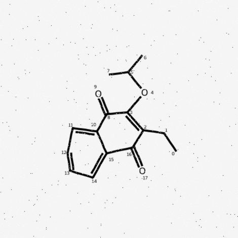 CCC1=C(OC(C)C)C(=O)c2ccccc2C1=O